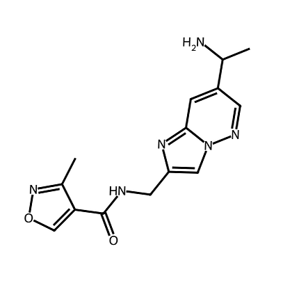 Cc1nocc1C(=O)NCc1cn2ncc(C(C)N)cc2n1